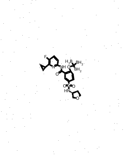 BC(B)(B)Oc1ccc(S(=O)(=O)N[C@H]2CCOC2)cc1C(=O)Nc1ccc(F)c(C2CC2)n1